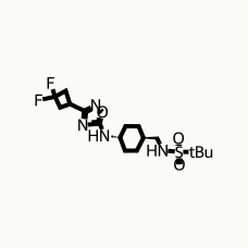 CC(C)(C)S(=O)(=O)NC[C@H]1CC[C@H](Nc2nc(C3CC(F)(F)C3)no2)CC1